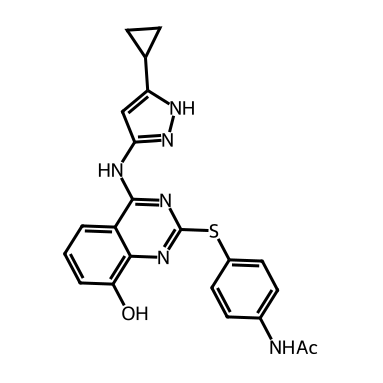 CC(=O)Nc1ccc(Sc2nc(Nc3cc(C4CC4)[nH]n3)c3cccc(O)c3n2)cc1